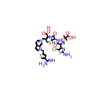 CC(C)(O/N=C(\C(=O)N[C@@H]1C(=O)N2C(C(=O)O)=C(C[n+]3ccc4ccn(Cc5cc(C(=N)N)cs5)c4c3)CS[C@H]12)c1nc(N)sc1Cl)C(=O)O